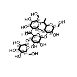 CC(C)C1O[C@H](CO)[C@@H](O)[C@H](O[C@@H]2O[C@H](CO)[C@@H](O[C@@H]3O[C@H](CO)[C@@H](O)[C@H](O)[C@H]3O)[C@H](O)[C@H]2O)[C@H]1O[C@@H]1O[C@H](CO)[C@@H](O)[C@H](O)[C@H]1O